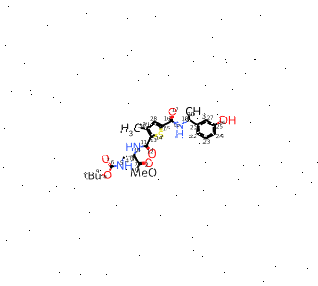 COC(=O)[C@H](CNC(=O)OC(C)(C)C)NC(=O)c1sc(C(=O)NC(C)c2cccc(O)c2)cc1C